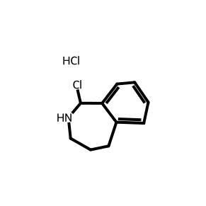 Cl.ClC1NCCCc2ccccc21